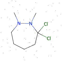 CN1CCCCC(Cl)(Cl)N1C